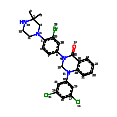 CC1(C)CN(c2ccc(N3CN(c4cc(Cl)cc(Cl)c4)c4ccccc4C3=O)cc2Br)CCN1